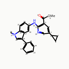 COC(=O)c1cc(C2CC2)cnc1Nc1ccc2c(c1)c(-c1ccccc1)cn2C